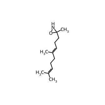 CC(C)=CCC/C(C)=C/CCC1(C)NO1